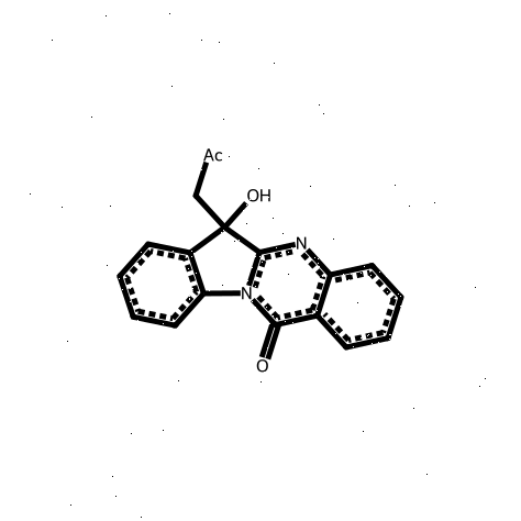 CC(=O)CC1(O)c2ccccc2-n2c1nc1ccccc1c2=O